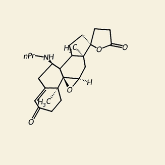 CCCN[C@@H]1CC2=CC(=O)CC[C@]2(C)[C@@]23O[C@@H]2C[C@@]2(C)C(CC[C@@]24CCC(=O)O4)C13